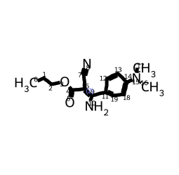 CCCOC(=O)/C(C#N)=C(\N)c1ccc(N(C)C)cc1